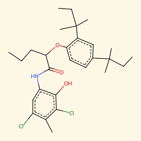 CCCC(Oc1ccc(C(C)(C)CC)cc1C(C)(C)CC)C(=O)Nc1cc(Cl)c(C)c(Cl)c1O